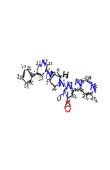 Cn1c(N2CC3C[C@H]2CN3c2cncc(-c3ccccc3)c2)nc(-c2ccncn2)cc1=O